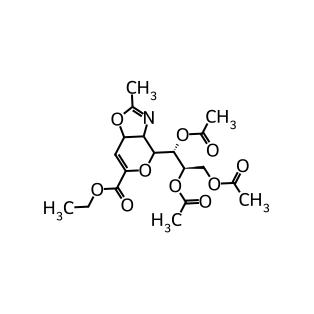 CCOC(=O)C1=CC2OC(C)=NC2C([C@H](OC(C)=O)[C@@H](COC(C)=O)OC(C)=O)O1